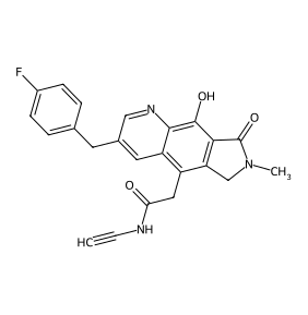 C#CNC(=O)Cc1c2c(c(O)c3ncc(Cc4ccc(F)cc4)cc13)C(=O)N(C)C2